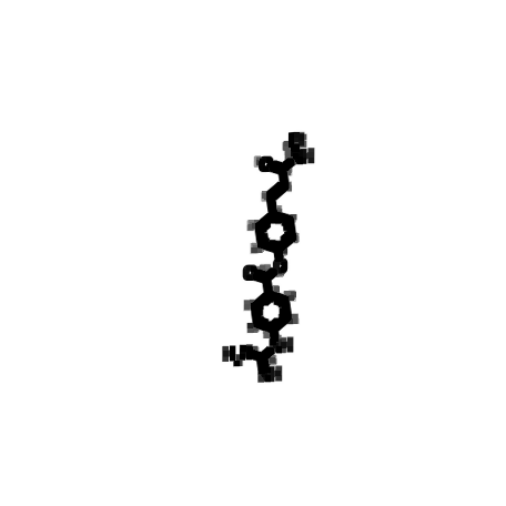 CCNC(=O)C=Cc1ccc(OC(=O)c2ccc(NC(=N)N)cc2)cc1